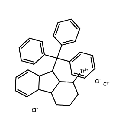 [Cl-].[Cl-].[Cl-].[Ti+3][CH]1CCCC2C3C=CC=CC3C(C(c3ccccc3)(c3ccccc3)c3ccccc3)C12